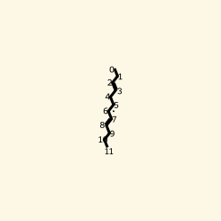 CCC=CCC[CH]C=CCCC